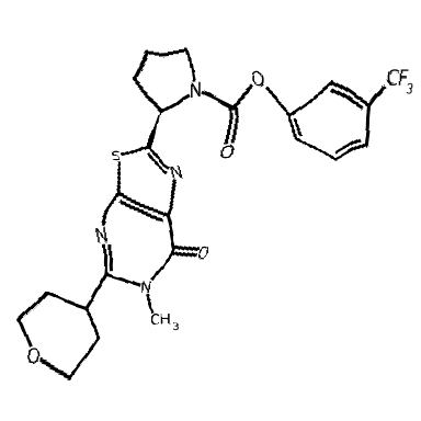 Cn1c(C2CCOCC2)nc2sc([C@H]3CCCN3C(=O)Oc3cccc(C(F)(F)F)c3)nc2c1=O